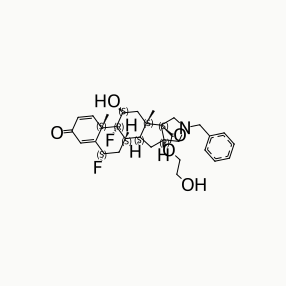 C[C@]12C=CC(=O)C=C1[C@@H](F)C[C@H]1[C@@H]3C[C@H]4CN(Cc5ccccc5)C[C@@]4(C(=O)OCCO)[C@@]3(C)C[C@H](O)[C@@]12F